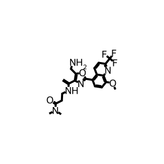 C=C(NCCC(=O)N(C)C)c1nc(-c2ccc(OC)c3nc(C(F)(F)F)ccc23)oc1CN